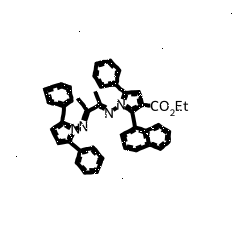 CCOC(=O)c1cc(-c2ccccc2)n(N=C(C)C(C)=Nn2c(-c3ccccc3)ccc2-c2ccccc2)c1-c1cccc2ccccc12